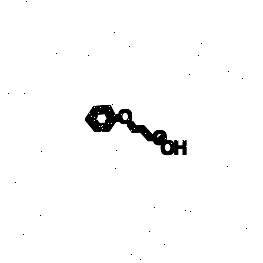 OOCCCOc1ccccc1